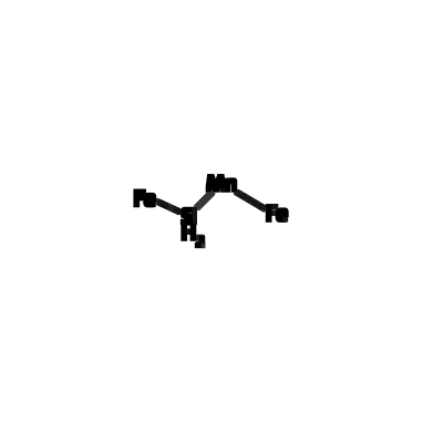 [Fe][SiH2][Mn][Fe]